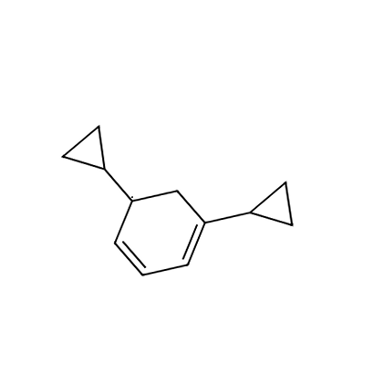 C1=C[C](C2CC2)CC(C2CC2)=C1